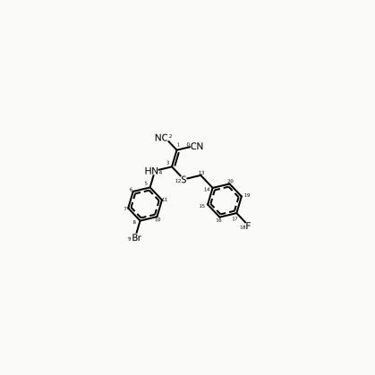 N#CC(C#N)=C(Nc1ccc(Br)cc1)SCc1ccc(F)cc1